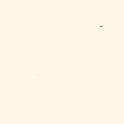 CCOC(=O)[C@H]1CC[C@@](F)(c2ncc(-c3cccc(Nc4nccc(C(F)(F)F)n4)c3)s2)CC1